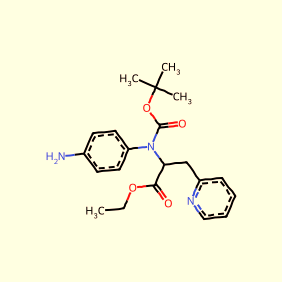 CCOC(=O)C(Cc1ccccn1)N(C(=O)OC(C)(C)C)c1ccc(N)cc1